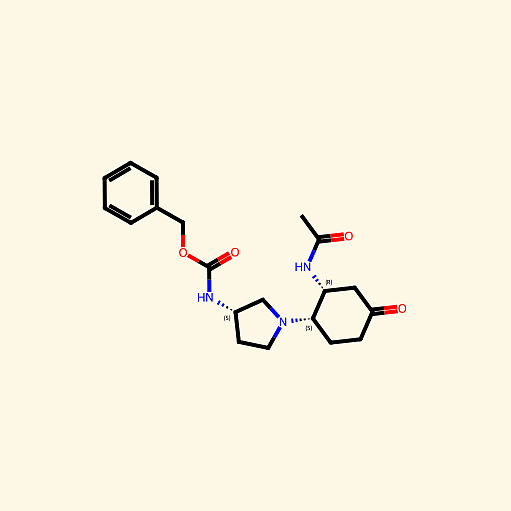 CC(=O)N[C@@H]1CC(=O)CC[C@@H]1N1CC[C@H](NC(=O)OCc2ccccc2)C1